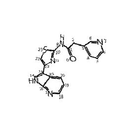 O=C(Cc1cccnc1)Nc1nc(-c2c[nH]c3ncccc23)cs1